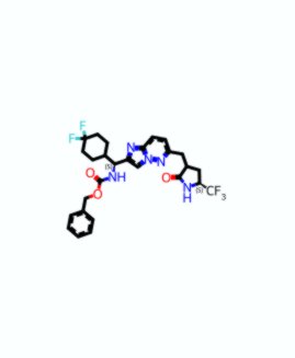 O=C(N[C@H](c1cn2nc(CC3C[C@@H](C(F)(F)F)NC3=O)ccc2n1)C1CCC(F)(F)CC1)OCc1ccccc1